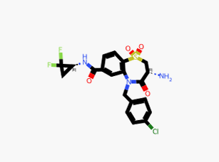 N[C@H]1CS(=O)(=O)c2ccc(C(=O)N[C@@H]3CC3(F)F)cc2N(Cc2ccc(Cl)cc2)C1=O